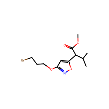 COC(=O)C(c1cc(OCCCBr)no1)C(C)C